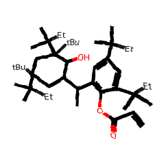 C=CC(=O)Oc1c(C(C)C2CC(C(C)(C)C)(C(C)(C)CC)CC(C(C)(C)C)(C(C)(C)CC)C2O)cc(C(C)(C)CC)cc1C(C)(C)CC